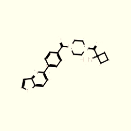 NC1(C(=O)N2CCN(C(=O)c3ccc(-c4ccc5occc5n4)cc3)CC2)CCC1